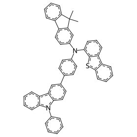 CC1(C)c2ccccc2-c2ccc(N(c3ccc(-c4ccc5c(c4)c4ccccc4n5-c4ccccc4)cc3)c3cccc4c3sc3ccccc34)cc21